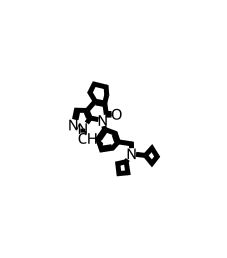 Cn1ncc2c3c(c(=O)n(-c4cccc(CN(C5CCC5)C5CCC5)c4)c21)CCCC3